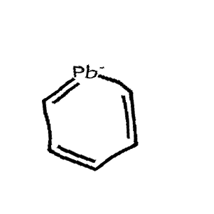 C1=C[CH]=[Pb-][CH]=C1